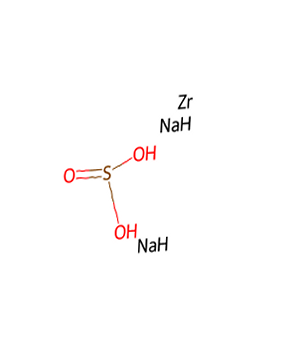 O=S(O)O.[NaH].[NaH].[Zr]